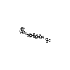 C=C(C)C(=O)OCCCOc1ccc(-c2ccc(OC(=O)c3ccc(OCCCCOC(=O)C(C)(C)CO)cc3)cc2)cc1